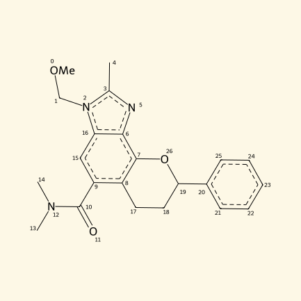 COCn1c(C)nc2c3c(c(C(=O)N(C)C)cc21)CCC(c1ccccc1)O3